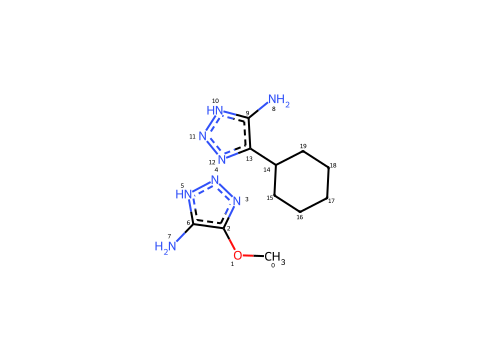 COc1nn[nH]c1N.Nc1[nH]nnc1C1CCCCC1